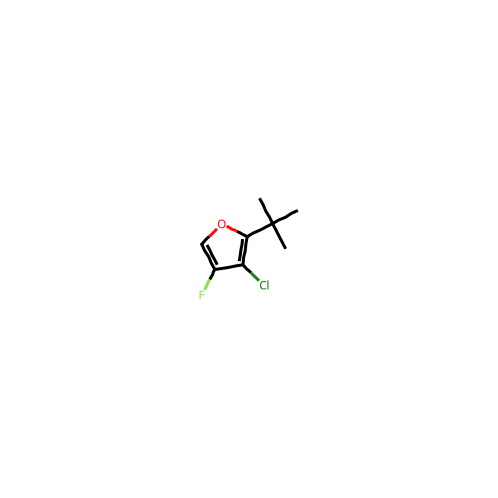 CC(C)(C)c1occ(F)c1Cl